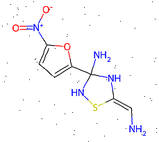 NC=C1NC(N)(c2ccc([N+](=O)[O-])o2)NS1